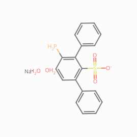 O.O.O=S(=O)([O-])c1c(-c2ccccc2)ccc(P)c1-c1ccccc1.[Na+]